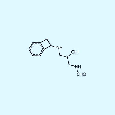 O=CNCC(O)CNC1Cc2ccccc21